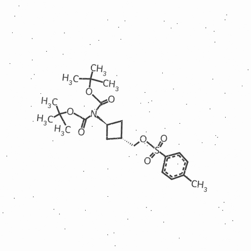 Cc1ccc(S(=O)(=O)OC[C@H]2C[C@H](N(C(=O)OC(C)(C)C)C(=O)OC(C)(C)C)C2)cc1